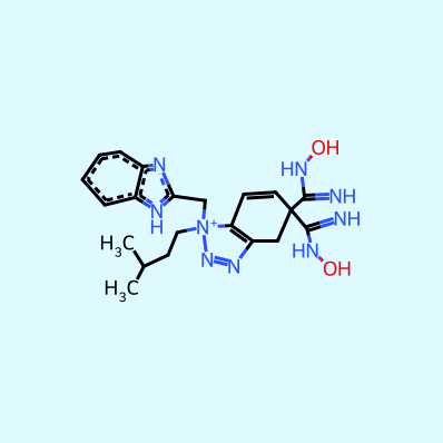 CC(C)CC[N+]1(Cc2nc3ccccc3[nH]2)N=NC2=C1C=CC(C(=N)NO)(C(=N)NO)C2